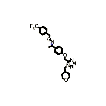 C/C(=N\OCc1ccc(C(F)(F)F)cc1)c1ccc(OCc2nnnn2CC2CCOCC2)cc1